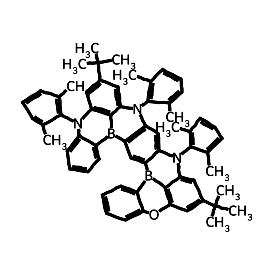 Cc1cccc(C)c1N1c2cc3c(cc2B2c4ccccc4Oc4cc(C(C)(C)C)cc1c42)B1c2ccccc2N(c2c(C)cccc2C)c2cc(C(C)(C)C)cc(c21)N3c1c(C)cccc1C